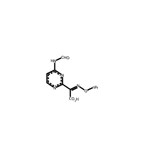 CCCON=C(C(=O)O)c1nccc(NC=O)n1